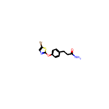 NC(=O)CCc1ccc(Oc2ncc(Br)s2)cc1